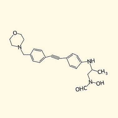 CC(CN(O)C=O)Nc1ccc(C#Cc2ccc(CN3CCOCC3)cc2)cc1